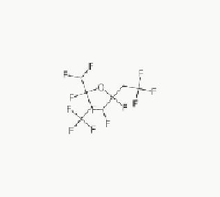 FC(F)C(F)(CC(F)(F)F)OC(F)(CC(F)(F)F)C(F)F